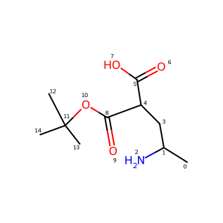 CC(N)CC(C(=O)O)C(=O)OC(C)(C)C